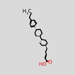 CCCc1ccc([C@H]2CC[C@H]([C@H]3CC[C@H](CC/C=C/C(=O)O)CC3)CC2)cc1